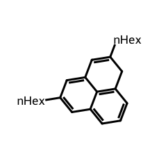 CCCCCCC1=Cc2cc(CCCCCC)cc3cccc(c23)C1